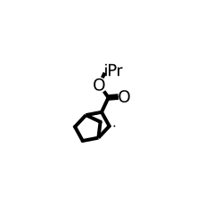 CC(C)OC(=O)C1[CH]C2CCC1C2